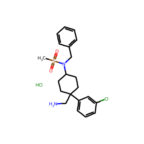 CS(=O)(=O)N(Cc1ccccc1)C1CCC(CN)(c2cccc(Cl)c2)CC1.Cl